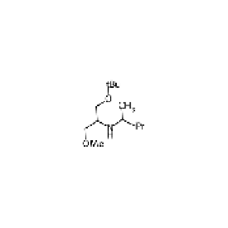 COCC(COC(C)(C)C)NC(C)C(C)C